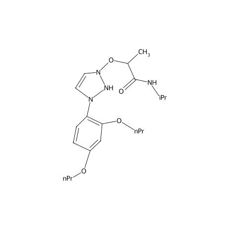 CCCOc1ccc(N2C=CN(OC(C)C(=O)NC(C)C)N2)c(OCCC)c1